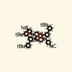 [C-]#[N+]c1ccc(N(C2=C3C=CC4=C5C(=CC=C(C=C2)C35)C(N(c2ccc(C#N)cc2)c2ccc(-c3cccc(C(C)(C)C)c3)cc2-c2cccc(C(C)(C)C)c2)C=C4)c2ccc(-c3cccc(C(C)(C)C)c3)cc2-c2cccc(C(C)(C)C)c2)cc1